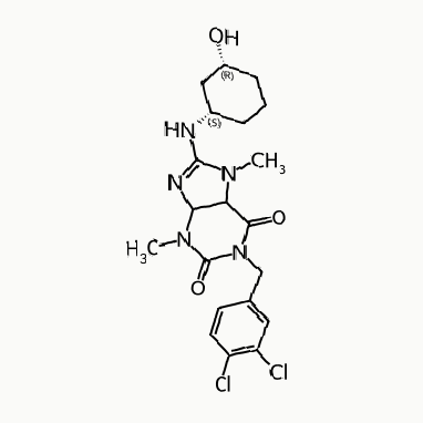 CN1C(=O)N(Cc2ccc(Cl)c(Cl)c2)C(=O)C2C1N=C(N[C@H]1CCC[C@@H](O)C1)N2C